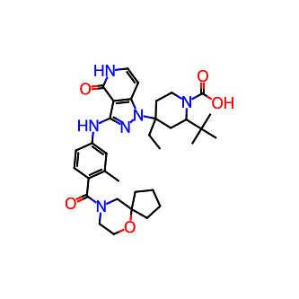 CCC1(n2nc(Nc3ccc(C(=O)N4CCOC5(CCCC5)C4)c(C)c3)c3c(=O)[nH]ccc32)CCN(C(=O)O)C(C(C)(C)C)C1